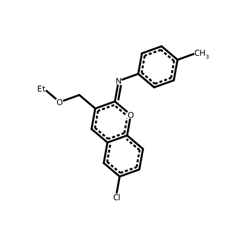 CCOCc1cc2cc(Cl)ccc2o/c1=N\c1ccc(C)cc1